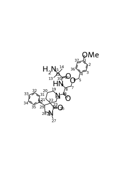 COc1ccc(COCC(NC(=O)C(C)(C)N)C(=O)N2CCCC3(C2)C(=O)N(C)CC3c2ccccc2)cc1